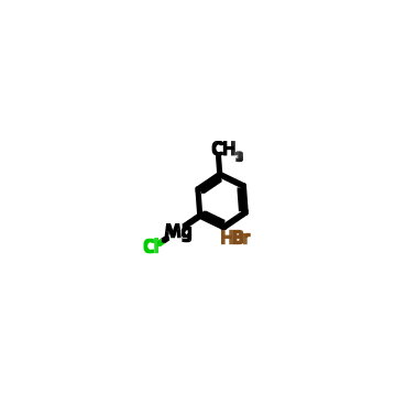 Br.Cc1ccc[c]([Mg][Cl])c1